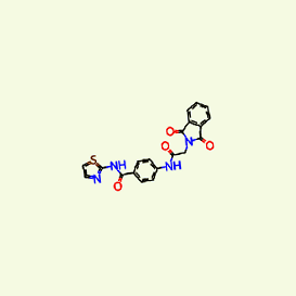 O=C(CN1C(=O)c2ccccc2C1=O)Nc1ccc(C(=O)Nc2nccs2)cc1